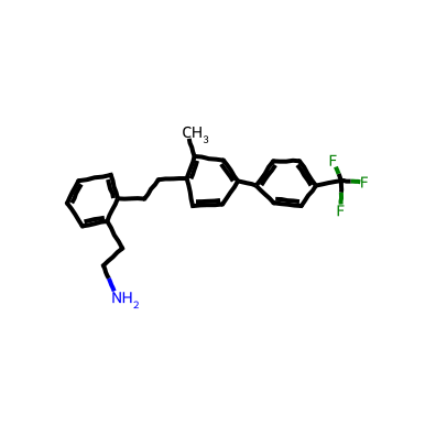 Cc1cc(-c2ccc(C(F)(F)F)cc2)ccc1CCc1ccccc1CCN